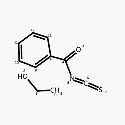 CCO.O=C(N=C=S)c1ccccc1